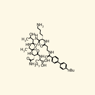 CCCCc1ccc(-c2ccc(C(=O)NCCC(=O)N[C@@H](CCCCN)C(=O)N[C@H](C(=O)N[C@@H](C)C(=O)N[C@@H](CC(N)=O)C(=O)N[C@H](C)B(O)O)C(C)O)cc2)cc1